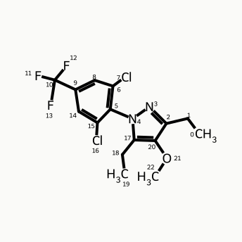 CCc1nn(-c2c(Cl)cc(C(F)(F)F)cc2Cl)c(CC)c1OC